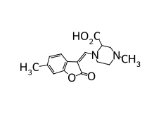 Cc1ccc2c(c1)OC(=O)C2=CN1CCN(C)CC1C(=O)O